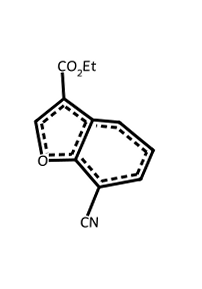 CCOC(=O)c1coc2c(C#N)cccc12